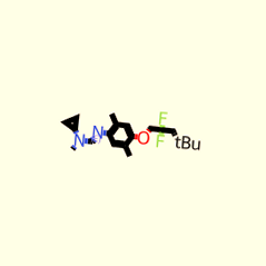 Cc1cc(OCC(F)(F)CC(C)(C)C)c(C)cc1/N=C/N(C)C1CC1